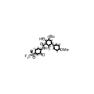 COc1ccc(-c2cc(C(C)(C)C)c(O)c(C(=O)Nc3ccc(S(=O)(=O)C(F)(F)F)cc3Cl)c2C)cc1